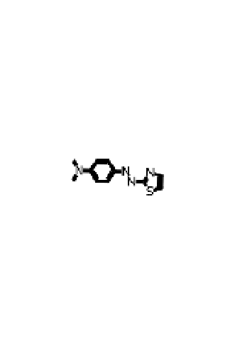 CN(C)c1ccc(/N=N/c2nccs2)cc1